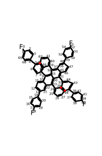 Fc1ccc(-c2ccc(-c3c4ccc(-c5ccc(F)cc5)cc4c(-c4ccccc4)c4c(-c5ccc(-c6ccc(F)cc6)cc5)c5ccc(-c6ccc(F)cc6)cc5c(-c5ccccc5)c34)cc2)cc1